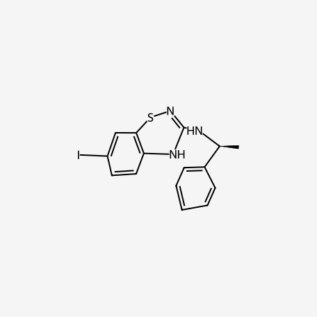 C[C@H](NC1=NSc2cc(I)ccc2N1)c1ccccc1